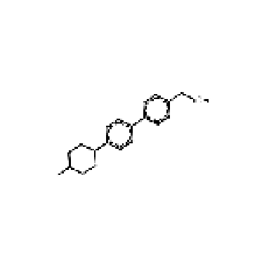 CCCCCCCCCCCc1ccc(-c2ccc(C3CCC(C)CC3)cc2)cc1